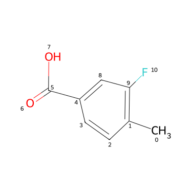 Cc1ccc(C(=O)O)cc1F